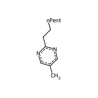 CCCCCCCc1ncc(C)cn1